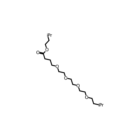 CC(C)CCOCCOCCOCCOCCCC(=O)OCCC(C)C